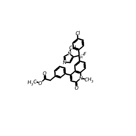 COC(=O)Cc1cccc(-c2cc(=O)n(C)c3ccc([C@](F)(c4ccc(Cl)cc4)c4cncn4C)cc23)c1